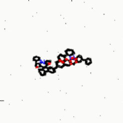 c1ccc(-c2ccc(N(c3ccc4cc(-c5ccc6c(c5)C5(c7ccccc7-6)c6ccccc6-n6c7ccccc7c7cccc5c76)ccc4c3)c3ccccc3-c3ccccc3-c3ccccc3)cc2)cc1